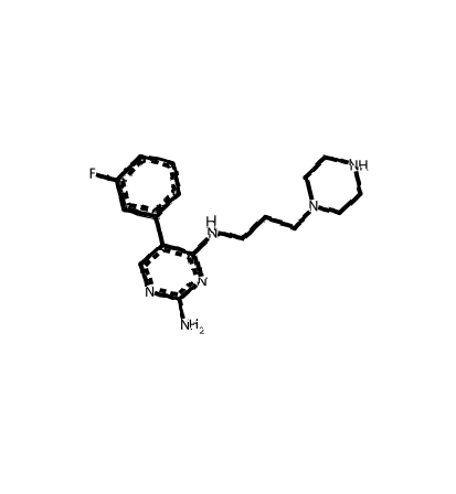 Nc1ncc(-c2cccc(F)c2)c(NCCCN2CCNCC2)n1